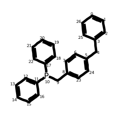 c1ccc(Cc2ccc(CP(c3ccccc3)c3ccccc3)cc2)cc1